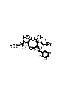 CC(C)CC[C@H]1[C@H](C)OC(=O)C(NC(=O)OC(C)(C)C)COC[C@@H]1OCc1ccccc1